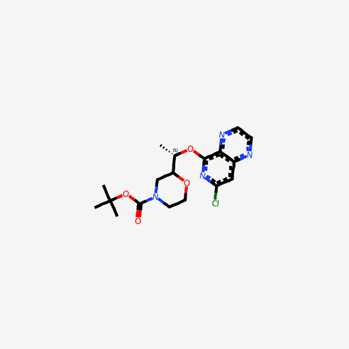 C[C@H](Oc1nc(Cl)cc2nccnc12)C1CN(C(=O)OC(C)(C)C)CCO1